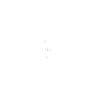 [B].[K].[Na].[Si]